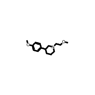 COCCN1CCCC(c2ccc(OC)cc2)C1